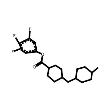 CC1CCC(CC2CCC(C(=O)Oc3cc(F)c(F)c(F)c3)CC2)CC1